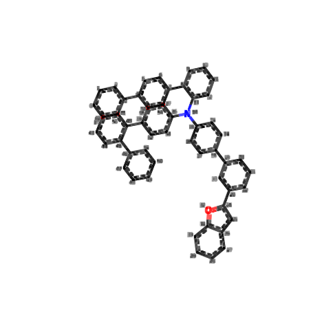 c1ccc(-c2ccc(-c3ccccc3N(c3ccc(-c4cccc(-c5cc6ccccc6o5)c4)cc3)c3ccc(-c4ccccc4-c4ccccc4)cc3)cc2)cc1